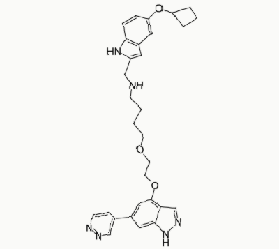 c1cc(-c2cc(OCCOCCCCNCc3cc4cc(OC5CCC5)ccc4[nH]3)c3cn[nH]c3c2)cnn1